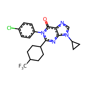 O=c1c2ncn(C3CC3)c2nc(C2CCC(C(F)(F)F)CC2)n1-c1ccc(Cl)cc1